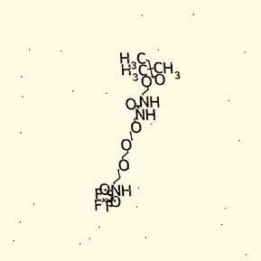 CCC(C)(C)C(=O)OCCNC(=O)NCOCCOCCOCCCNS(=O)(=O)C(F)(F)F